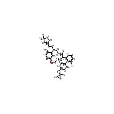 CCOC(=O)C(c1cccc(C)c1C1CCC(OC2(C)CC2)CC1)N(C)CC[C@H](CCN1CCC(C)(C)C1)c1cc(Cl)ccc1C